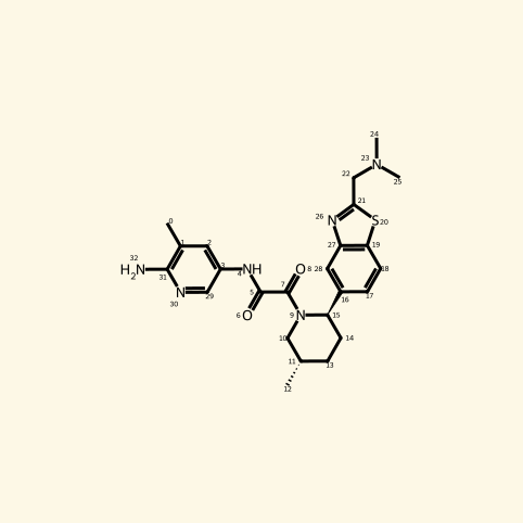 Cc1cc(NC(=O)C(=O)N2C[C@@H](C)CC[C@@H]2c2ccc3sc(CN(C)C)nc3c2)cnc1N